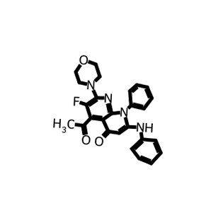 CC(=O)c1c(F)c(N2CCOCC2)nc2c1c(=O)cc(Nc1ccccc1)n2-c1ccccc1